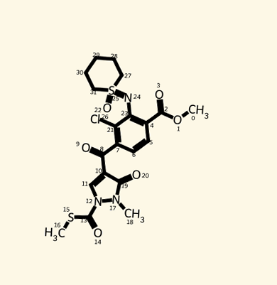 COC(=O)c1ccc(C(=O)c2cn(C(=O)SC)n(C)c2=O)c(Cl)c1N=S1(=O)CCCCC1